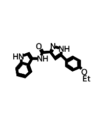 CCOc1ccc(-c2cc(C(=O)Nc3c[nH]c4ccccc34)n[nH]2)cc1